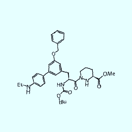 CCNc1ccc(-c2cc(C[C@H](NC(=O)OC(C)(C)C)C(=O)N3CCC[C@@H](C(=O)OC)N3)cc(OCc3ccccc3)c2)cc1